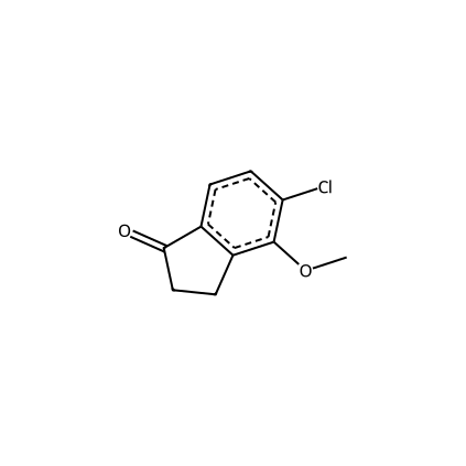 COc1c(Cl)ccc2c1CCC2=O